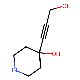 OCC#CC1(O)CCNCC1